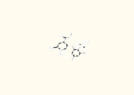 COC(=O)c1ccn(N)c(=N)c1.Cc1cc(C)c(S(=O)(=O)O)c(C)c1